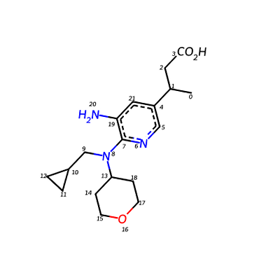 CC(CC(=O)O)c1cnc(N(CC2CC2)C2CCOCC2)c(N)c1